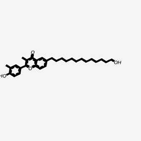 Cc1cc(-c2oc3ccc(CCCCCCCCCCCCCO)cc3c(=O)c2C)ccc1O